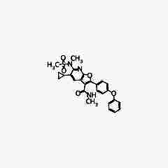 CNC(=O)c1c(-c2ccc(Oc3ccccc3)cc2)oc2nc(N(C)S(C)(=O)=O)c(C3CC3)cc12